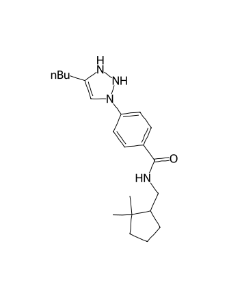 CCCCC1=CN(c2ccc(C(=O)NCC3CCCC3(C)C)cc2)NN1